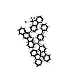 CC1(C)c2ccccc2-c2ccc(-c3c4ccccc4cc4c3oc3c(C(c5ccc(-c6ccccc6)cc5)c5ccc6c(c5)C5(c7ccccc7-c7ccccc75)c5ccccc5-6)cccc34)cc21